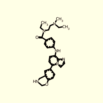 CCN(C)CCN(CC)C(=O)c1ccc(Nc2ccc(-c3ccc4c(c3)CNCO4)n3ccnc23)cc1